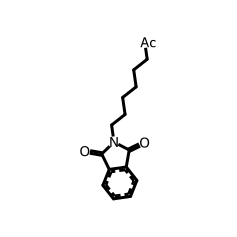 CC(=O)CCCCCCN1C(=O)c2ccccc2C1=O